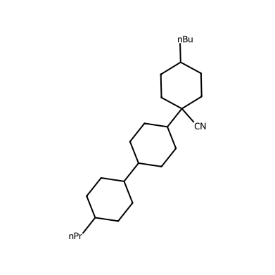 CCCCC1CCC(C#N)(C2CCC(C3CCC(CCC)CC3)CC2)CC1